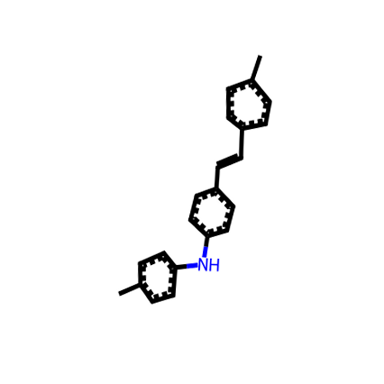 Cc1ccc(/C=C/c2ccc(Nc3ccc(C)cc3)cc2)cc1